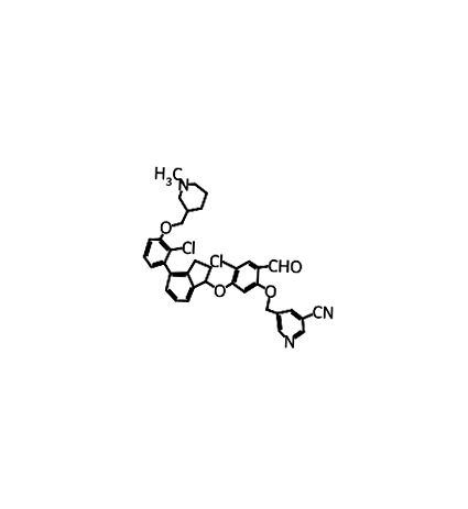 CN1CCCC(COc2cccc(-c3cccc4c3CCC4Oc3cc(OCc4cncc(C#N)c4)c(C=O)cc3Cl)c2Cl)C1